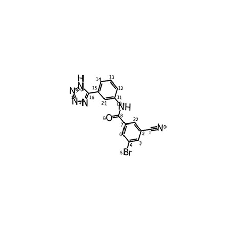 N#Cc1cc(Br)cc(C(=O)Nc2cccc(-c3nnn[nH]3)c2)c1